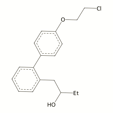 CCC(O)Cc1ccccc1-c1ccc(OCCCl)cc1